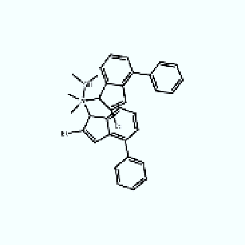 CCC1=Cc2c(-c3ccccc3)cccc2[CH]1[Zr]([CH3])([CH3])([CH]1C(CC)=Cc2c(-c3ccccc3)cccc21)[SiH](C)C